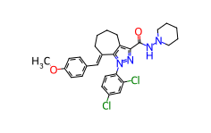 COc1ccc(/C=C2\CCCCc3c(C(=O)NN4CCCCC4)nn(-c4ccc(Cl)cc4Cl)c32)cc1